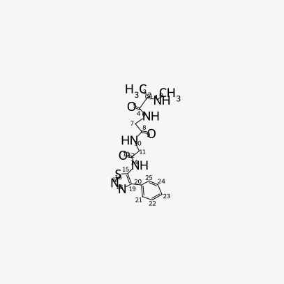 CN[C@@H](C)C(=O)NCC(=O)NCC(=O)Nc1snnc1-c1ccccc1